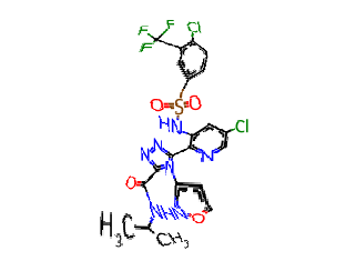 CC(C)NC(=O)c1nnc(-c2ncc(Cl)cc2NS(=O)(=O)c2ccc(Cl)c(C(F)(F)F)c2)n1-c1ccon1